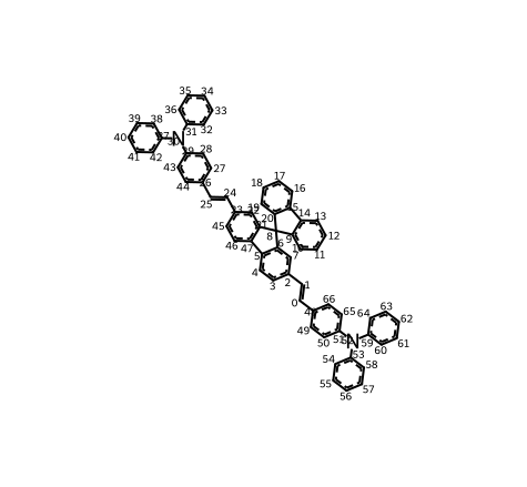 C(=C\c1ccc2c(c1)C1(c3ccccc3-c3ccccc31)c1cc(/C=C/c3ccc(N(c4ccccc4)c4ccccc4)cc3)ccc1-2)/c1ccc(N(c2ccccc2)c2ccccc2)cc1